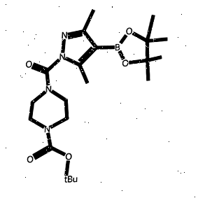 Cc1nn(C(=O)N2CCN(C(=O)OC(C)(C)C)CC2)c(C)c1B1OC(C)(C)C(C)(C)O1